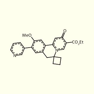 CCOC(=O)c1cn2c(cc1=O)-c1cc(OC)c(-c3cccnc3)cc1CC21CCC1